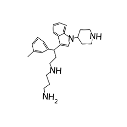 Cc1cccc(C(CCNCCCN)c2cn(C3CCNCC3)c3ccccc23)c1